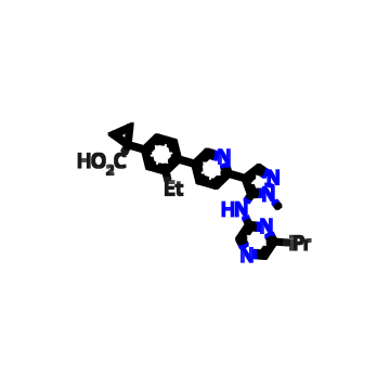 CCc1cc(C2(C(=O)O)CC2)ccc1-c1ccc(-c2cnn(C)c2Nc2cncc(C(C)C)n2)nc1